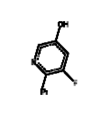 CC(C)c1ncc(O)cc1F